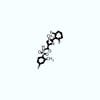 Cc1cc(F)ccc1S(=O)(=O)NC(=O)c1cn(C)c(-c2c(F)cccc2F)n1